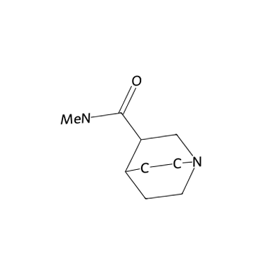 CNC(=O)C1CN2CCC1CC2